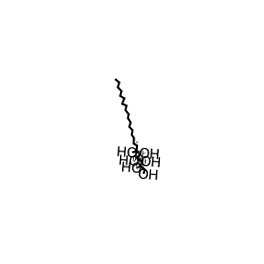 CCCCCCCCCCCCCCCCC[CH]C(O)[C@H](O)[C@@H](O)[C@H](O)[C@H](O)CO